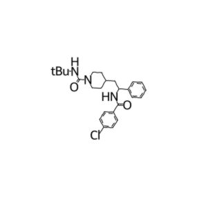 CC(C)(C)NC(=O)N1CCC(CC(NC(=O)c2ccc(Cl)cc2)c2ccccc2)CC1